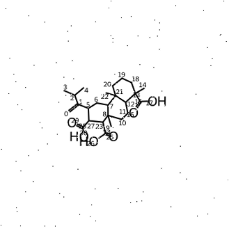 C=C(C(C)C)C1CC2C(C)(CCC3C(C)(C(=O)O)CCCC32C)C(C(=O)O)C1C(=O)O